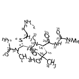 CCCC(=O)N(C)[C@H](SCCN)C(=O)N(C)[C@@H](CC(C)(C)O)C(=O)NC(=O)NC